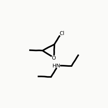 CC1OC1Cl.CCNCC